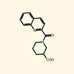 O=CC1CCCN(C(=O)c2ccc3ccccc3n2)C1